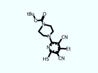 CCc1c(C#N)c(S)nc(N2CCN(C(=O)OC(C)(C)C)CC2)c1C#N